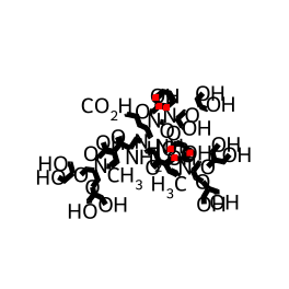 Cc1cc(C(=O)C(N)CN(CC(N)C(=O)c2cc(C)n(C(COC(CO)CO)COC(CO)CO)c(=O)c2O)CC(CCCC(=O)O)N(C(=O)c2ccccc2)C(=O)N(CCO)C(COC(CO)CO)C(O)OC(CO)CO)c(O)c(=O)n1C(COC(CO)CO)COC(CO)CO